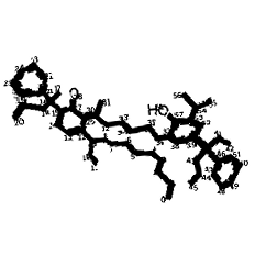 CCCCCCCCCC(CC)C1=CC=C(C(C)(CCC)c2ccccc2)C(=O)C1=C(C)CCCCCc1cc(C(CC)(CCC)c2ccccc2)cc(C(C)C)c1O